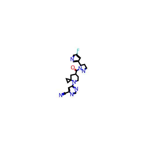 N#Cc1cc(N2CCC(C(=O)N3N=CCC3c3cncc(F)c3)CC23CC3)ncn1